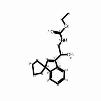 CCOC(=O)NCC(O)C1=CC2(CCCC2)c2ccccc21